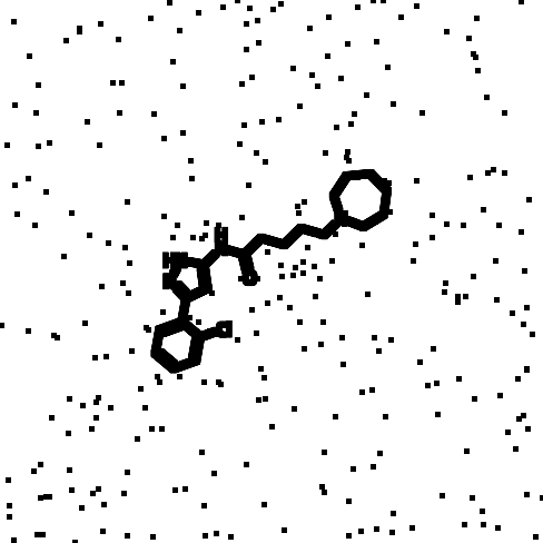 O=C(CCCCN1CCCCCC1)Nc1cc(-c2ccccc2Cl)n[nH]1